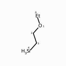 CCOCC[SiH3]